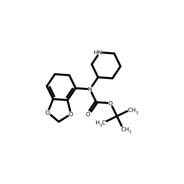 CC(C)(C)OC(=O)N(C1=C2OCOC2=C[CH]C1)C1CCCNC1